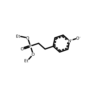 CCOP(=O)(CCc1cc[n+]([O-])cc1)OCC